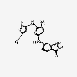 Nc1ccc(Nc2ccc3c(=O)[nH][nH]c3c2)nc1Nc1cc(C2CC2)n[nH]1